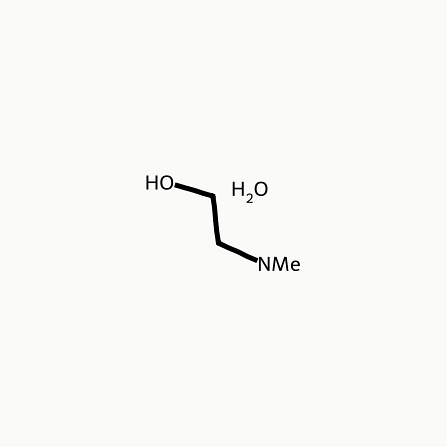 CNCCO.O